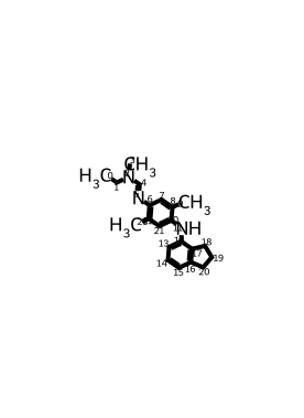 CCN(C)C=Nc1cc(C)c(Nc2cccc3c2CCC3)cc1C